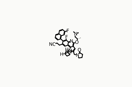 C[C@@H](CN(C)C)Oc1nc2c(F)c(-c3cccc4ccc(F)cc34)c(CCC#N)cc2c2c1cc(CN1CCCC1=O)n2[C@@H]1C2C[C@@H]1CN2